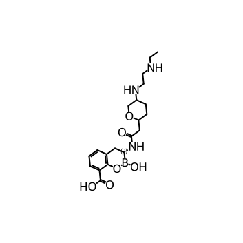 CCNCCNC1CCC(CC(=O)N[C@H]2Cc3cccc(C(=O)O)c3OB2O)OC1